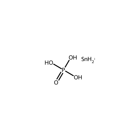 O=P(O)(O)O.[SnH2]